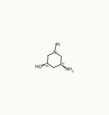 CC(C)N1C[C@@H](N)C[C@@H](O)C1